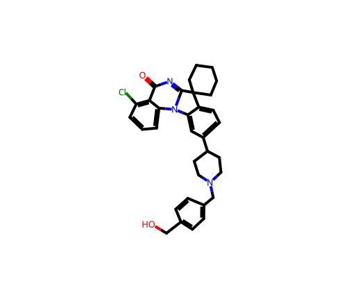 O=c1nc2n(c3cccc(Cl)c13)-c1cc(C3CCN(Cc4ccc(CO)cc4)CC3)ccc1C21CCCCC1